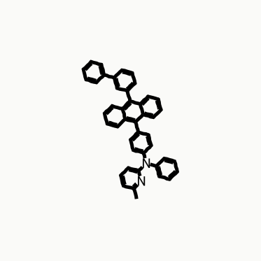 Cc1cccc(N(c2ccccc2)c2ccc(-c3c4ccccc4c(-c4cccc(-c5ccccc5)c4)c4ccccc34)cc2)n1